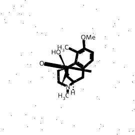 COc1ccc2c(c1C)[C@]13CCN(C)[C@H](C2)C1C=CC(=O)[C@@H]3O